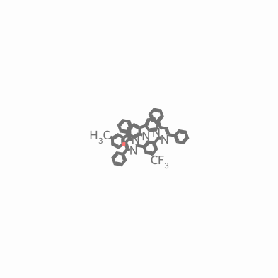 Cc1cccc(-c2ccc3c4ccccc4n(-c4c(-c5nc(-c6ccccc6)cc(-c6ccccc6)n5)cc(C(F)(F)F)cc4-c4nc(-c5ccccc5)cc(-c5ccccc5)n4)c3c2)c1